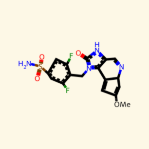 COC1=CC2N=Cc3[nH]c(=O)n(Cc4c(F)cc(S(N)(=O)=O)cc4F)c3C2=C1